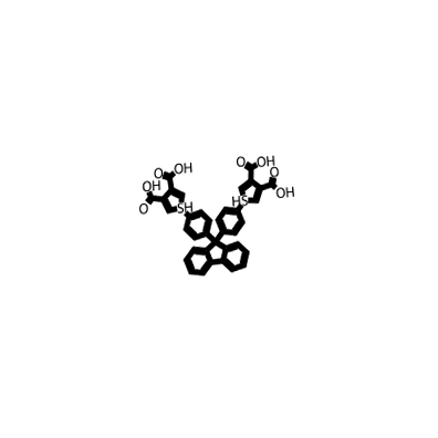 O=C(O)C1=C[SH](c2ccc(C3(c4ccc([SH]5C=C(C(=O)O)C(C(=O)O)=C5)cc4)c4ccccc4-c4ccccc43)cc2)C=C1C(=O)O